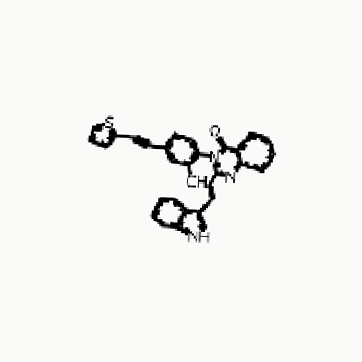 Cc1cc(C#Cc2cccs2)ccc1-n1c(/C=C/c2c[nH]c3ccccc23)nc2ccccc2c1=O